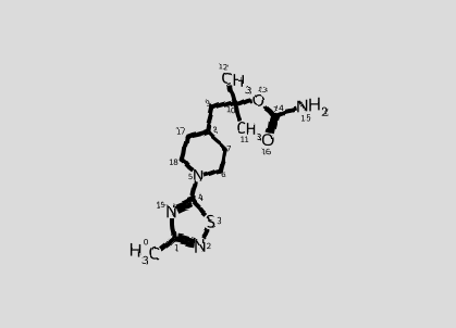 Cc1nsc(N2CCC(CC(C)(C)OC(N)=O)CC2)n1